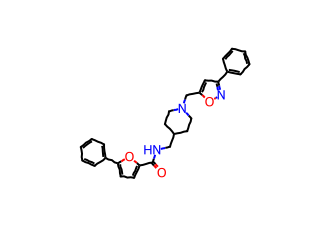 O=C(NCC1CCN(Cc2cc(-c3ccccc3)no2)CC1)c1ccc(-c2ccccc2)o1